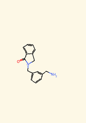 NCc1cccc(CN2Cc3ccccc3C2=O)c1